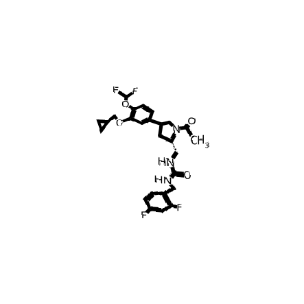 CC(=O)N1CC(c2ccc(OC(F)F)c(OCC3CC3)c2)C[C@H]1CNC(=O)NCc1ccc(F)cc1F